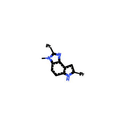 CC(C)c1cc2c(ccc3c2nc(C(C)C)n3C)[nH]1